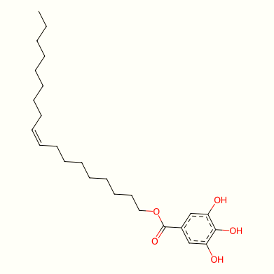 CCCCCCCC/C=C\CCCCCCCCOC(=O)c1cc(O)c(O)c(O)c1